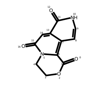 O=C1OCCn2c1c1cc[nH]c(=O)c1cc2=O